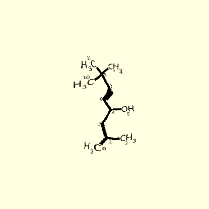 CC(C)CC(O)/C=C/C(C)(C)C